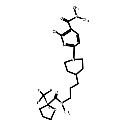 CN(C)C(=O)c1ccc(N2CCC(CCCN(C)C(=O)[C@@]3(C(F)(F)F)CCCO3)CC2)nc1Cl